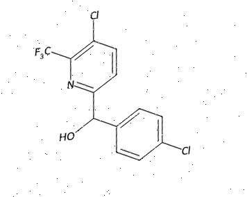 OC(c1ccc(Cl)cc1)c1ccc(Cl)c(C(F)(F)F)n1